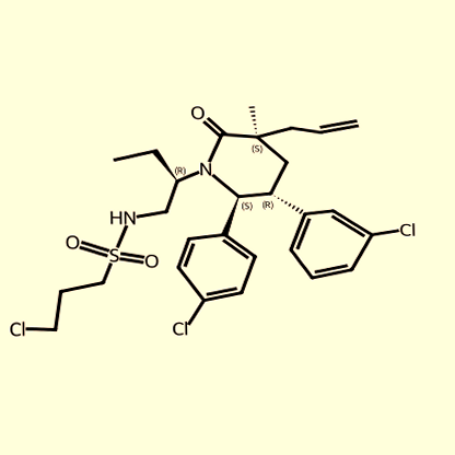 C=CC[C@@]1(C)C[C@H](c2cccc(Cl)c2)[C@@H](c2ccc(Cl)cc2)N([C@H](CC)CNS(=O)(=O)CCCCl)C1=O